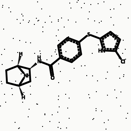 O=C(N[C@@H]1C[C@H]2CC[C@@H]1N2)c1ccc(Sc2ccc(Cl)[nH]2)cc1